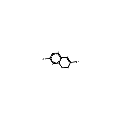 Fc1ccc2c(c1)CCC(I)=C2